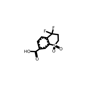 O=C(O)c1ccc2c(c1)S(=O)(=O)CCC2(F)F